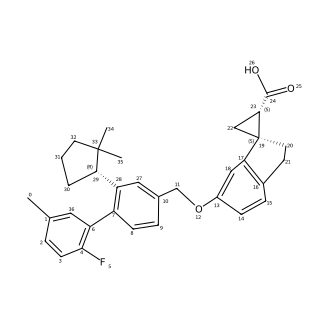 Cc1ccc(F)c(-c2ccc(COc3ccc4c(c3)[C@@]3(CC4)C[C@@H]3C(=O)O)cc2[C@@H]2CCCC2(C)C)c1